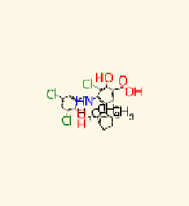 CC1(C)C2CCC1(C)C(c1cc(C(=O)O)c(O)c(Cl)c1NCc1cc(Cl)cc(Cl)c1O)C2